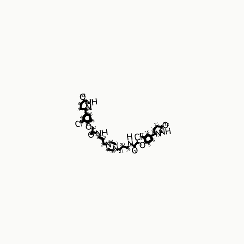 O=C(COc1ccc(C2=NNC(=O)CC2)cc1Cl)NCCCN1CCN(CCCNC(=O)COc2ccc(C3=NNC(=O)CC3)cc2Cl)CC1